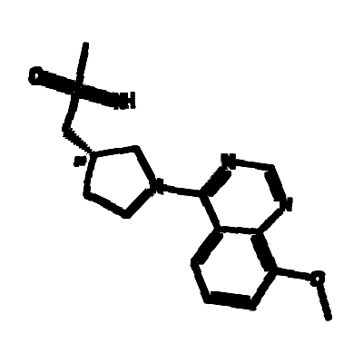 COc1cccc2c(N3CC[C@H](CS(C)(=N)=O)C3)ncnc12